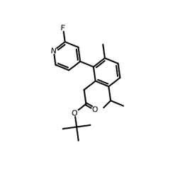 Cc1ccc(C(C)C)c(CC(=O)OC(C)(C)C)c1-c1ccnc(F)c1